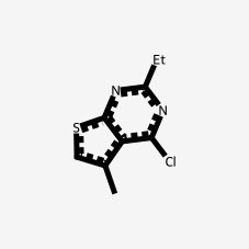 CCc1nc(Cl)c2c(C)csc2n1